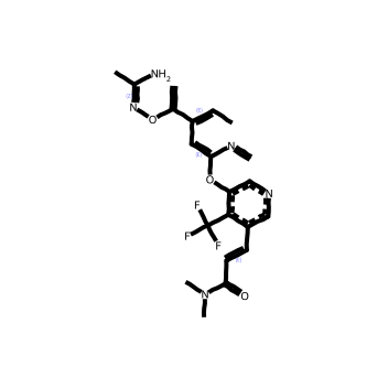 C=N/C(=C\C(=C/C)C(=C)O/N=C(/C)N)Oc1cncc(/C=C/C(=O)N(C)C)c1C(F)(F)F